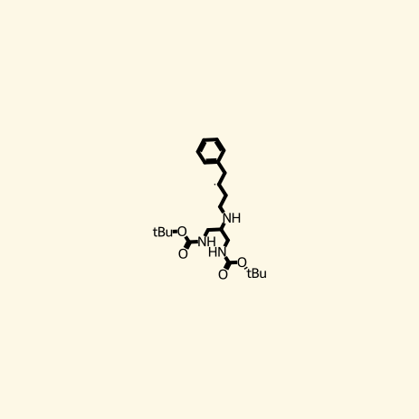 CC(C)(C)OC(=O)NCC(CNC(=O)OC(C)(C)C)NCC[CH]Cc1ccccc1